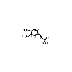 Nc1ccc(C=CC(=O)O)cc1CO